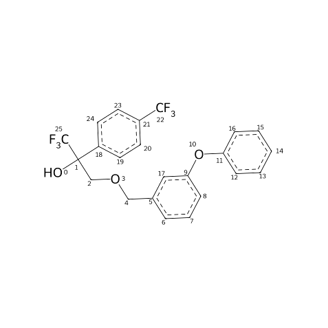 OC(COCc1cccc(Oc2ccccc2)c1)(c1ccc(C(F)(F)F)cc1)C(F)(F)F